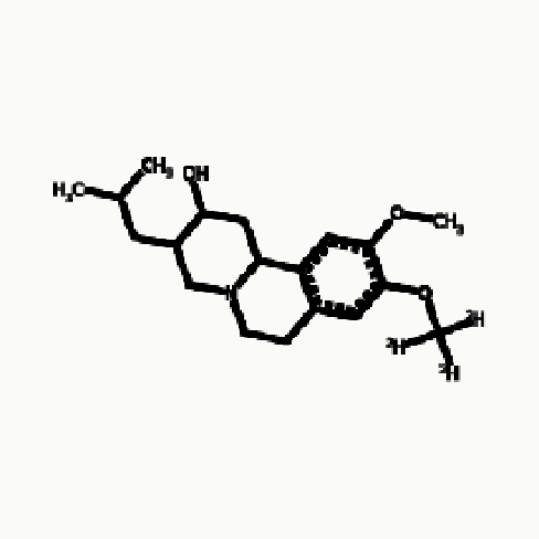 [2H]C([2H])([2H])Oc1cc2c(cc1OC)C1CC(O)C(CC(C)C)CN1CC2